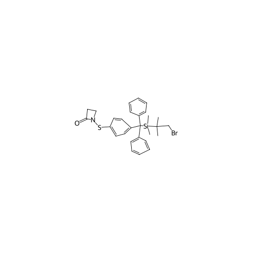 CC(C)(CBr)[Si](C)(C)C(c1ccccc1)(c1ccccc1)c1ccc(SN2CCC2=O)cc1